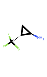 N[C@@H]1C[C@H]1C(F)(F)F